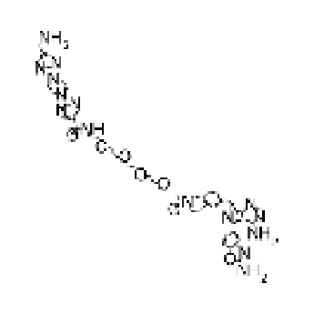 NCc1cnc(N2CCN(c3ncc(C(=O)NCCOCCOCCOCCOCCC(=O)N4CCc5cc(Cn6nc(-c7ccc8oc(N)nc8c7)c7c(N)ncnc76)ccc5C4)cn3)CC2)nc1